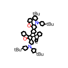 CC(C)(C)c1ccc(N(c2ccc(C(C)(C)C)cc2)c2ccc3c4c(c5c6ccccc6oc5c3c2)-c2cc3c(cc2C42c4ccccc4-c4ccccc42)cc(N(c2ccc(C(C)(C)C)cc2)c2ccc(C(C)(C)C)cc2)c2c4ccccc4oc32)cc1